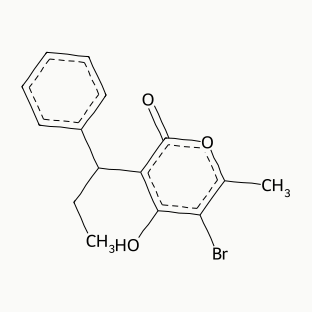 CCC(c1ccccc1)c1c(O)c(Br)c(C)oc1=O